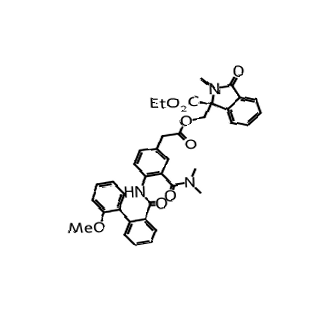 CCOC(=O)[C@]1(COC(=O)Cc2ccc(NC(=O)c3ccccc3-c3ccccc3OC)c(C(=O)N(C)C)c2)c2ccccc2C(=O)N1C